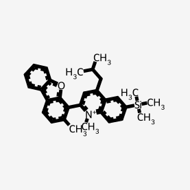 Cc1ccc2c(oc3ccccc32)c1-c1cc(CC(C)C)c2cc([Si](C)(C)C)ccc2[n+]1C